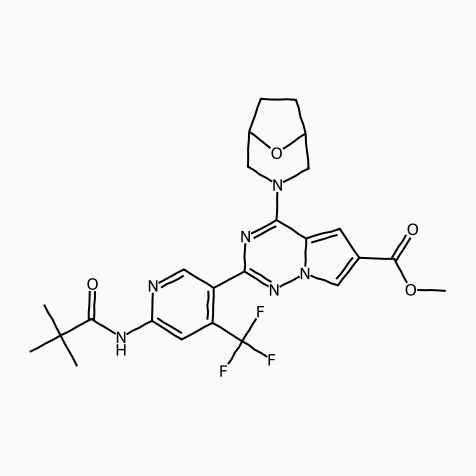 COC(=O)c1cc2c(N3CC4CCC(C3)O4)nc(-c3cnc(NC(=O)C(C)(C)C)cc3C(F)(F)F)nn2c1